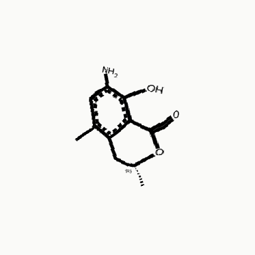 Cc1cc(N)c(O)c2c1C[C@@H](C)OC2=O